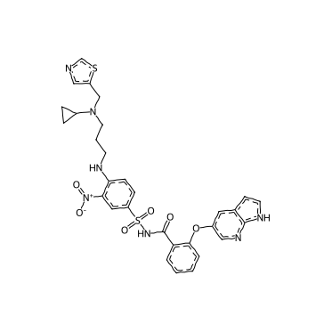 O=C(NS(=O)(=O)c1ccc(NCCCN(Cc2cncs2)C2CC2)c([N+](=O)[O-])c1)c1ccccc1Oc1cnc2[nH]ccc2c1